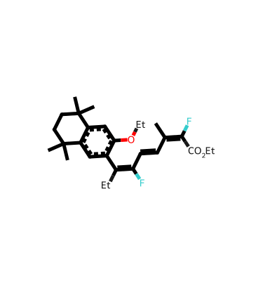 CCOC(=O)\C(F)=C(C)/C=C/C(F)=C(/CC)c1cc2c(cc1OCC)C(C)(C)CCC2(C)C